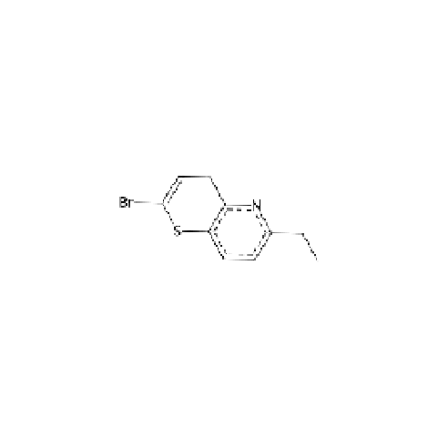 CCc1ccc2c(n1)CC=C(Br)S2